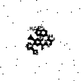 CC1(C)CC[C@H]2C[C@@H](Nc3nc(Nc4cc(-n5nnnc5C5COC5)c(C5CC5)cc4F)ncc3F)CCN21